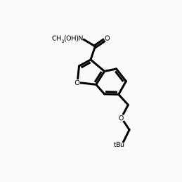 CN(O)C(=O)c1coc2cc(COCC(C)(C)C)ccc12